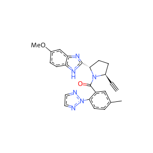 C#C[C@@H]1CC[C@@H](c2nc3cc(OC)ccc3[nH]2)N1C(=O)c1cc(C)ccc1-n1nccn1